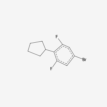 Fc1cc(Br)cc(F)c1C1CCCC1